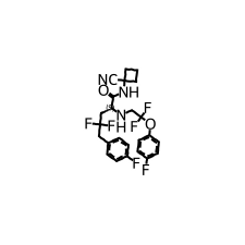 N#CC1(NC(=O)[C@H](CC(F)(F)Cc2ccc(F)cc2)NCC(F)(F)Oc2ccc(F)cc2)CCC1